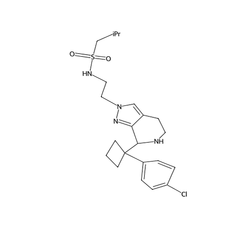 CC(C)CS(=O)(=O)NCCn1cc2c(n1)C(C1(c3ccc(Cl)cc3)CCC1)NCC2